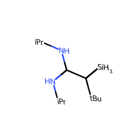 CC(C)NC(NC(C)C)C([SiH3])C(C)(C)C